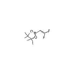 CC1(C)OB(C=C(F)F)OC1(C)C